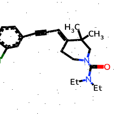 CCN(CC)C(=O)N1CC/C(=C\C#Cc2cccc(Cl)c2)C(C)(C)C1